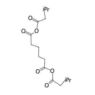 CC(C)CC(=O)OC(=O)CCCCC(=O)OC(=O)CC(C)C